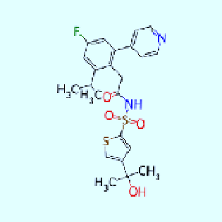 CC(C)c1cc(F)cc(-c2ccncc2)c1CC(=O)NS(=O)(=O)c1cc(C(C)(C)O)cs1